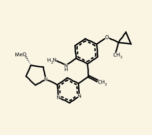 C=C(c1cc(N2CC[C@H](OC)C2)ncn1)c1cc(OC2(C)CC2)ccc1NN